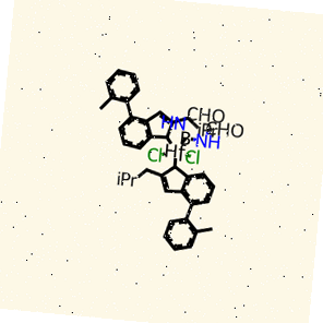 Cc1ccccc1-c1cccc2c1C=C(CC(C)C)[CH]2[Hf]([Cl])([Cl])([B](NC=O)NC=O)[CH]1C(CC(C)C)=Cc2c(-c3ccccc3C)cccc21